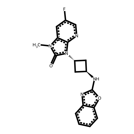 Cn1c(=O)n([C@H]2C[C@H](Nc3nc4ccccc4o3)C2)c2ncc(F)cc21